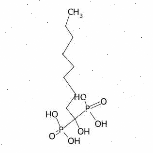 CCCCCCCCC(O)(P(=O)(O)O)P(=O)(O)O